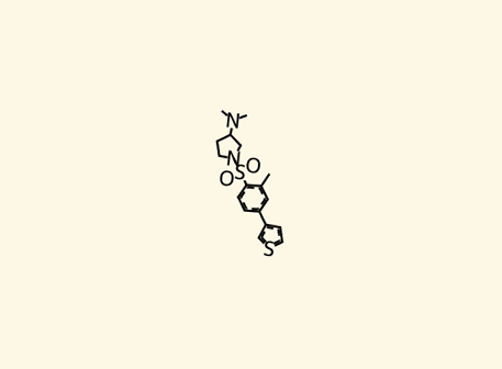 Cc1cc(-c2ccsc2)ccc1S(=O)(=O)N1CCC(N(C)C)C1